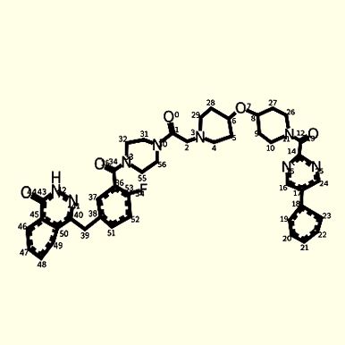 O=C(CN1CCC(OC2CCN(C(=O)c3ncc(-c4ccccc4)cn3)CC2)CC1)N1CCN(C(=O)c2cc(Cc3n[nH]c(=O)c4ccccc34)ccc2F)CC1